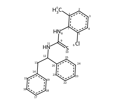 Cc1cccc(Cl)c1NC(=S)NC(Cc1ccccc1)c1ccccc1